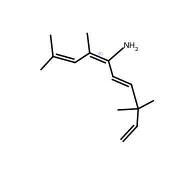 C=CC(C)(C)C=C/C(N)=C(/C)C=C(C)C